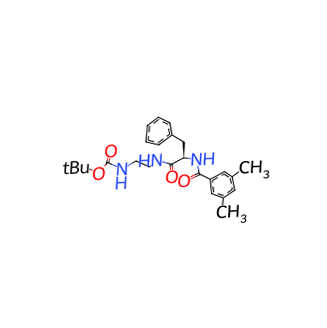 Cc1cc(C)cc(C(=O)N[C@H](Cc2ccccc2)C(=O)NCCNC(=O)OC(C)(C)C)c1